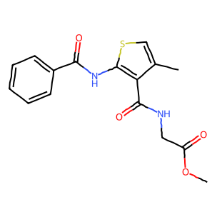 COC(=O)CNC(=O)c1c(C)csc1NC(=O)c1ccccc1